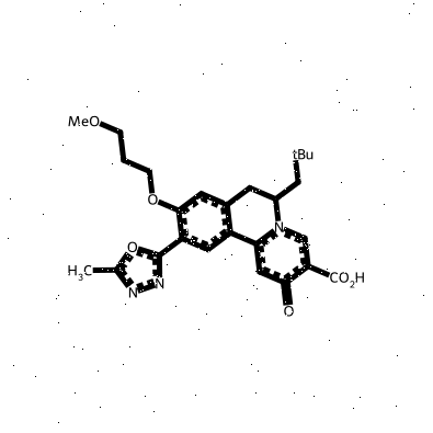 COCCCOc1cc2c(cc1-c1nnc(C)o1)-c1cc(=O)c(C(=O)O)cn1C(CC(C)(C)C)C2